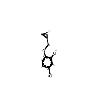 Clc1ccc(OC[C@H]2CO2)c(Cl)c1